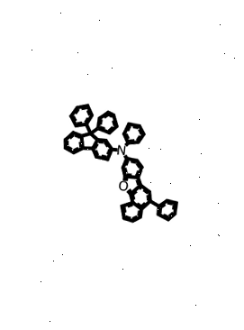 c1ccc(-c2cc3c4ccc(N(c5ccccc5)c5ccc6c(c5)C(c5ccccc5)(c5ccccc5)c5ccccc5-6)cc4oc3c3ccccc23)cc1